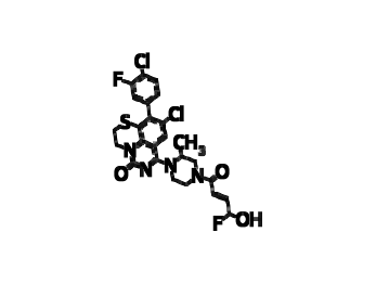 C[C@H]1CN(C(=O)/C=C/C(O)F)CCN1c1nc(=O)n2c3c(c(-c4ccc(Cl)c(F)c4)c(Cl)cc13)SCC2